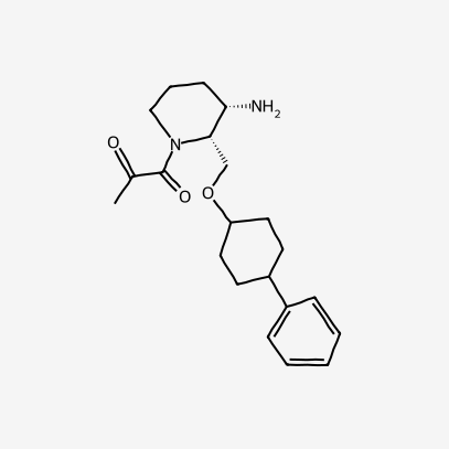 CC(=O)C(=O)N1CCC[C@H](N)[C@@H]1COC1CCC(c2ccccc2)CC1